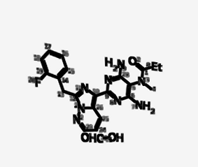 CCC(=O)N(C)c1c(N)nc(-c2nc(Cc3ccccc3F)n3ncccc23)nc1N.O=CO